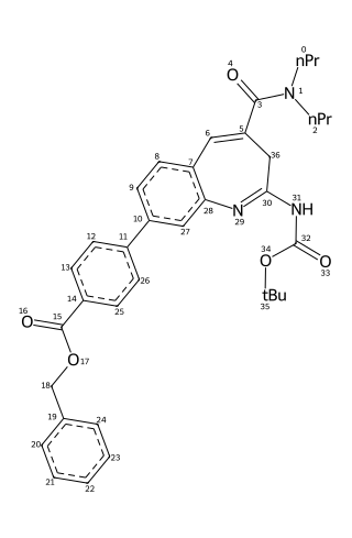 CCCN(CCC)C(=O)C1=Cc2ccc(-c3ccc(C(=O)OCc4ccccc4)cc3)cc2N=C(NC(=O)OC(C)(C)C)C1